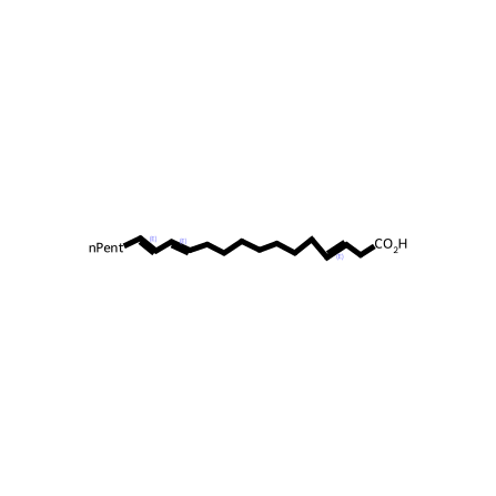 CCCCC/C=C/C=C/CCCCCCC/C=C/CC(=O)O